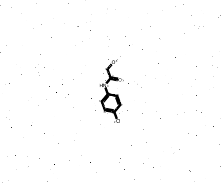 [O]CC(=O)Nc1ccc(Cl)cc1